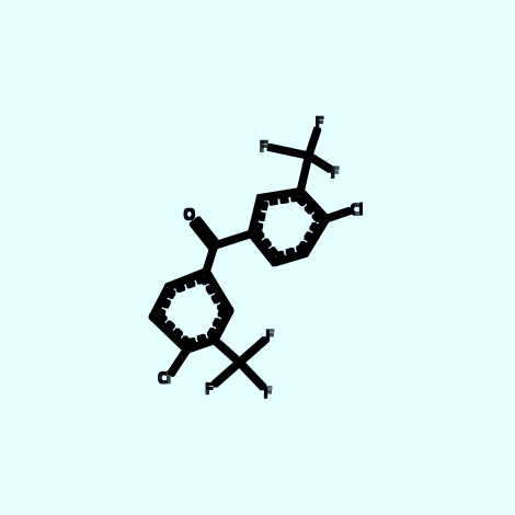 O=C(c1ccc(Cl)c(C(F)(F)F)c1)c1ccc(Cl)c(C(F)(F)F)c1